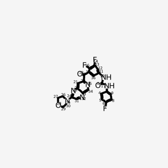 O=C(Nc1ccc(F)cc1)Nc1cc(F)c(F)c(C(=O)c2cc3nc(N4CCOCC4)cnc3cn2)c1